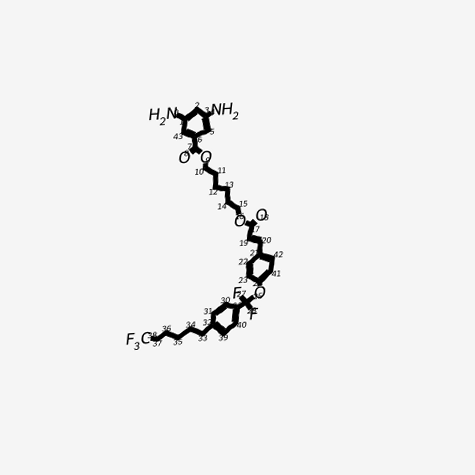 Nc1cc(N)cc(C(=O)OCCCCCCOC(=O)C=Cc2ccc(OC(F)(F)c3ccc(CCCCCC(F)(F)F)cc3)cc2)c1